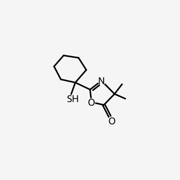 CC1(C)N=C(C2(S)CCCCC2)OC1=O